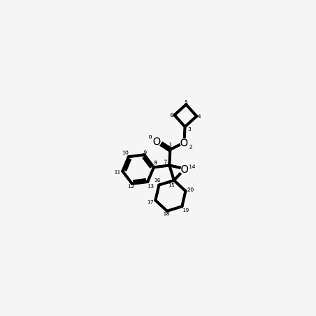 O=C(OC1CCC1)C1(c2ccccc2)OC12CCCCC2